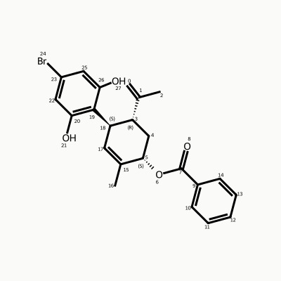 C=C(C)[C@@H]1C[C@H](OC(=O)c2ccccc2)C(C)=C[C@H]1c1c(O)cc(Br)cc1O